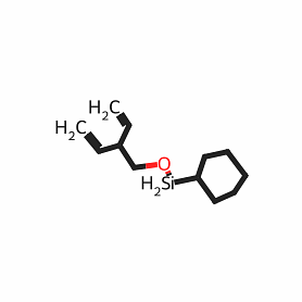 C=CC(C=C)CO[SiH2]C1CCCCC1